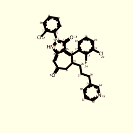 O=C1C=c2[nH]n(-c3ccccc3Cl)c(=O)c2=C(c2cccc(Cl)c2F)C(CCCc2cccnc2)C1